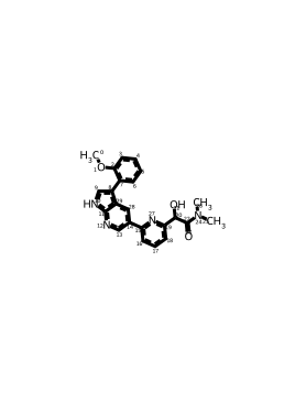 COc1ccccc1-c1c[nH]c2ncc(-c3cccc(C(O)C(=O)N(C)C)n3)cc12